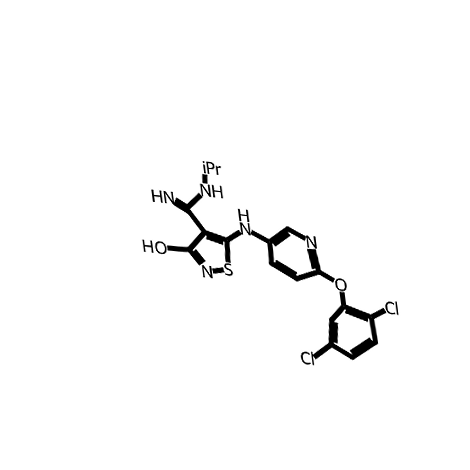 CC(C)NC(=N)c1c(O)nsc1Nc1ccc(Oc2cc(Cl)ccc2Cl)nc1